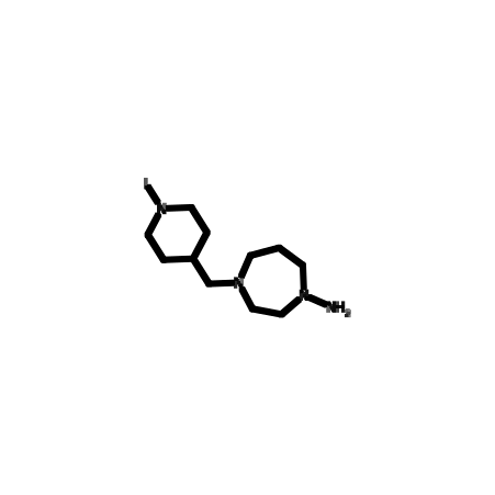 NN1CCCN(CC2CCN(I)CC2)CC1